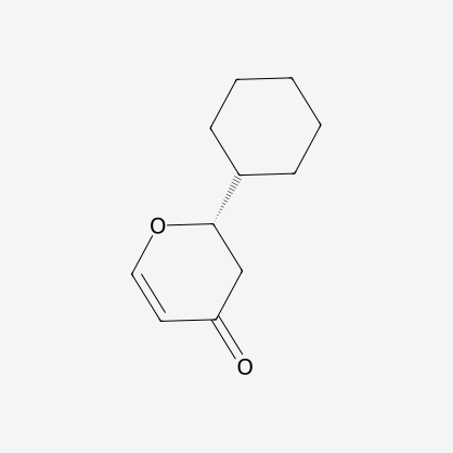 O=C1C=CO[C@H](C2CCCCC2)C1